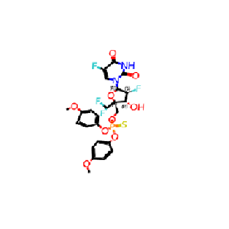 COc1ccc(OP(=S)(OC[C@@]2(C(F)F)O[C@@H](n3cc(F)c(=O)[nH]c3=O)[C@@H](F)[C@@H]2O)Oc2ccc(OC)cc2)cc1